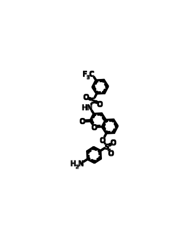 Nc1ccc(S(=O)(=O)Oc2cccc3cc(NS(=O)(=O)c4cccc(C(F)(F)F)c4)c(=O)oc23)cc1